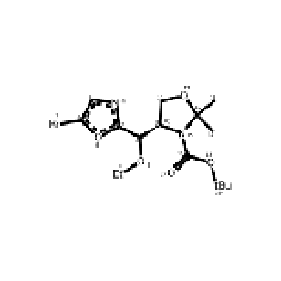 CCOC(c1ncc(Br)o1)[C@H]1COC(C)(C)N1C(=O)OC(C)(C)C